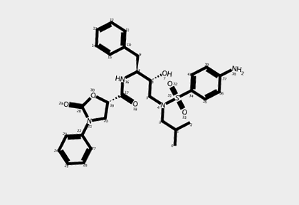 CC(C)CN(C[C@@H](O)[C@H](Cc1ccccc1)NC(=O)[C@@H]1CN(c2ccccc2)C(=O)O1)S(=O)(=O)c1ccc(N)cc1